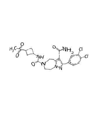 CS(=O)(=O)C1CC(NC(=O)N2CCn3nc(-c4ccc(Cl)c(Cl)c4)c(C(N)=O)c3C2)C1